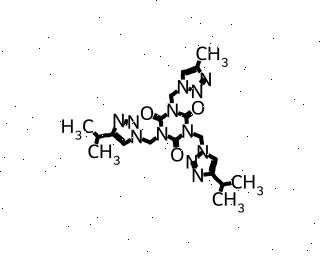 Cc1cn(Cn2c(=O)n(Cn3cc(C(C)C)nn3)c(=O)n(Cn3cc(C(C)C)nn3)c2=O)nn1